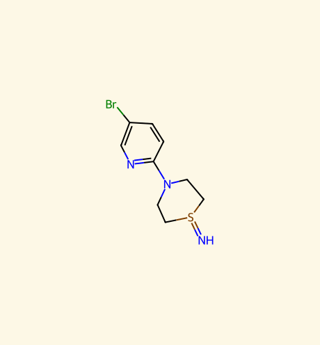 N=S1CCN(c2ccc(Br)cn2)CC1